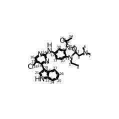 CCN(C(=O)CN(C)C)c1ccc(Nc2ncc(Cl)c(-c3c[nH]c4ccccc34)n2)cc1NC(C)=O